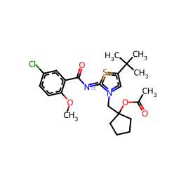 COc1ccc(Cl)cc1C(=O)/N=c1\sc(C(C)(C)C)cn1CC1(OC(C)=O)CCCC1